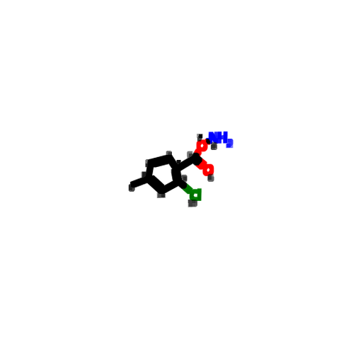 Cc1ccc(C(=O)ON)c(Cl)c1